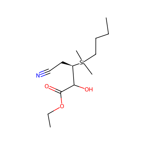 CCCC[Si](C)(C)[C@H](CC#N)C(O)C(=O)OCC